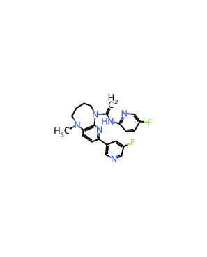 C=C(Nc1ccc(F)cn1)N1CCCCN(C)c2ccc(-c3cncc(F)c3)nc21